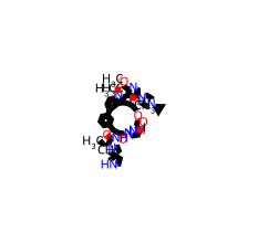 CCn1c(-c2cc(N3CCN(C4CC4)CC3)cnc2[C@H](C)OC)c2c3cc(ccc31)-c1cccc(c1)C[C@H](NC(=O)[C@H](C(C)C)N1CC[C@]3(CCNC3)C1)C(=O)N1CCC[C@H](N1)C(=O)OCC(C)(C)C2